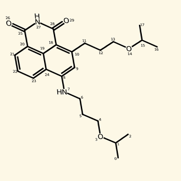 CC(C)OCCCNc1cc(CCCOC(C)C)c2c3c(cccc13)C(=O)NC2=O